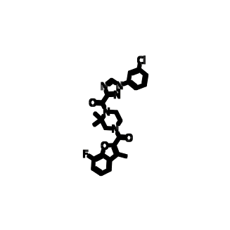 Cc1c(C(=O)N2CCN(C(=O)c3ncn(-c4cccc(Cl)c4)n3)C(C)(C)C2)oc2c(F)cccc12